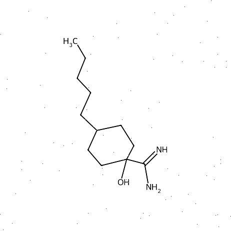 CCCCCC1CCC(O)(C(=N)N)CC1